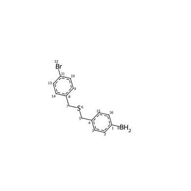 Bc1ccc(CSCc2ccc(Br)cc2)cc1